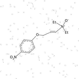 CC[N+]([O-])(/C=C/COc1ccc([N+](=O)[O-])cc1)CC